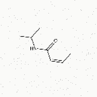 C/C=C\C(=O)NC(C)C